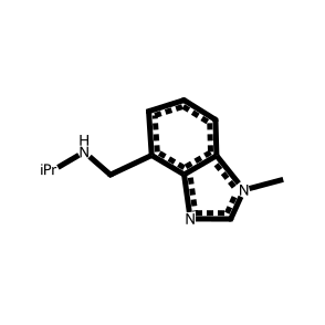 CC(C)NCc1cccc2c1ncn2C